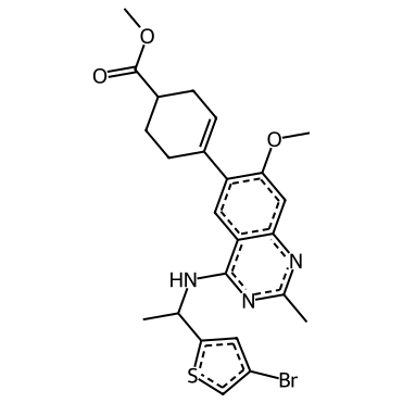 COC(=O)C1CC=C(c2cc3c(NC(C)c4cc(Br)cs4)nc(C)nc3cc2OC)CC1